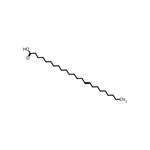 CCCCCCCCC=CCCCCCCCCCCCCCC(=O)O